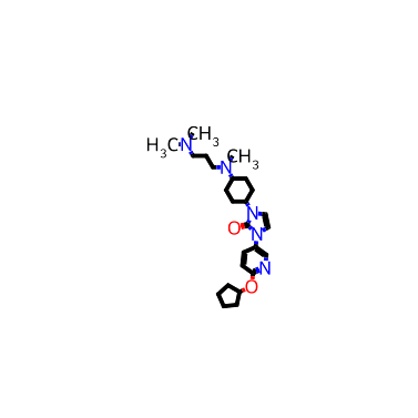 CN(C)CCCN(C)C1CCC(n2ccn(-c3ccc(OC4CCCC4)nc3)c2=O)CC1